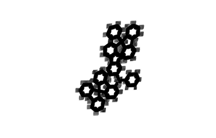 c1ccc(N(c2ccc3c(c2)sc2c(C4(c5ccccc5)c5ccccc5-c5ccccc54)cccc23)c2cccc3c2-c2ccccc2C32c3ccccc3-c3ccccc32)cc1